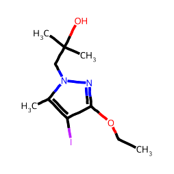 CCOc1nn(CC(C)(C)O)c(C)c1I